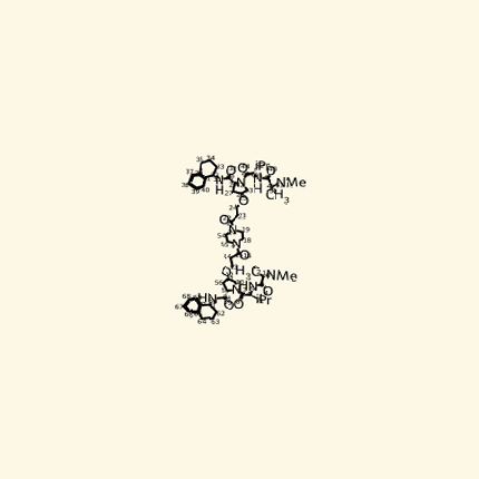 CN[C@@H](C)C(=O)N[C@H](C(=O)N1C[C@@H](OCCC(=O)N2CCN(C(=O)CCO[C@H]3C[C@@H](C(=O)N[C@@H]4CCCc5ccccc54)N(C(=O)[C@@H](NC(=O)[C@H](C)NC)C(C)C)C3)CC2)C[C@H]1C(=O)N[C@@H]1CCCc2ccccc21)C(C)C